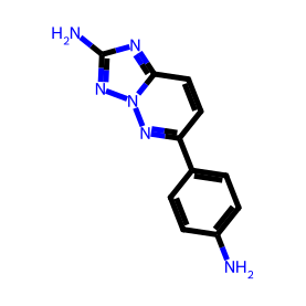 Nc1ccc(-c2ccc3nc(N)nn3n2)cc1